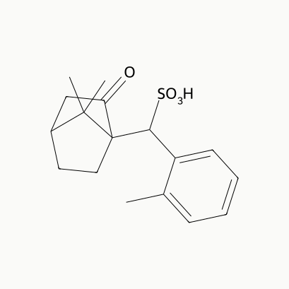 Cc1ccccc1C(C12CCC(CC1=O)C2(C)C)S(=O)(=O)O